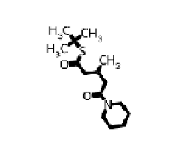 CC(CC(=O)SC(C)(C)C)CC(=O)N1CCCCC1